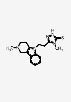 CN1CCc2c(c3ccccc3n2CCc2n[nH]c(=S)n2C)C1